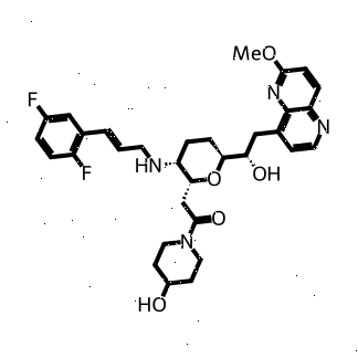 COc1ccc2nccc(C[C@H](O)[C@@H]3CC[C@@H](NC/C=C/c4cc(F)ccc4F)[C@@H](CC(=O)N4CCC(O)CC4)O3)c2n1